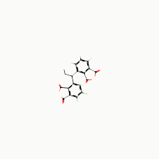 CCC(c1c(F)c(F)c(F)c2c1C(=O)OC2=O)c1c(F)c(F)c(F)c2c1C(=O)OC2=O